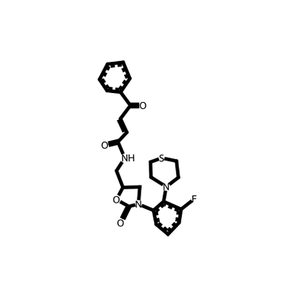 O=C(C=CC(=O)c1ccccc1)NCC1CN(c2cccc(F)c2N2CCSCC2)C(=O)O1